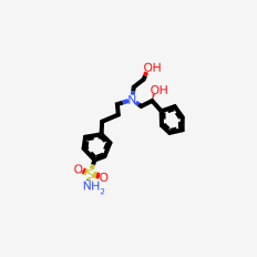 NS(=O)(=O)c1ccc(CCCN(CCO)C[C@H](O)c2ccccc2)cc1